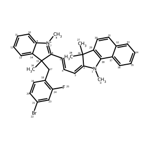 CN1/C(=C/C=C/C2=[N+](C)c3ccccc3C2(C)Cc2ccc(Br)cc2F)C(C)(C)c2ccc3ccccc3c21